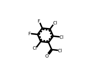 O=C(Cl)c1c(Cl)c(F)c(F)c(Cl)c1Cl